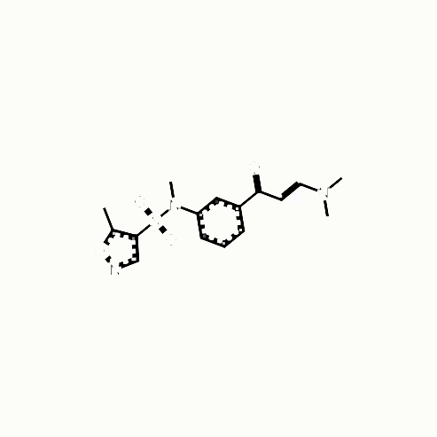 Cc1oncc1S(=O)(=O)N(C)c1cccc(C(=O)/C=C/N(C)C)c1